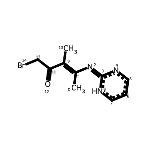 CC(/N=c1/nccc[nH]1)=C(/C)C(=O)CBr